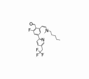 CCCCCN(C)/C=C\c1cc(-c2ccc(CC(F)(F)F)cn2)cc(F)c1C=O